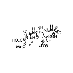 CCS(=O)(=O)Nc1cc(C(N)C(=O)N[C@@H]2C(=O)N3C(C(=O)O)=C(OC)CS[C@H]23)cc(NS(=O)(=O)CC)c1O